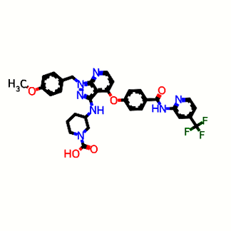 COc1ccc(Cn2nc(NC3CCCN(C(=O)O)C3)c3c(Oc4ccc(C(=O)Nc5cc(C(F)(F)F)ccn5)cc4)ccnc32)cc1